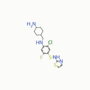 NC1CCC(CNc2cc(F)c(SNc3nccs3)cc2Cl)CC1